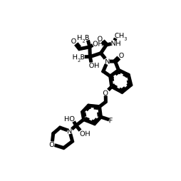 BC(O)(C=O)C(B)(O)C(C(=O)NC)N1Cc2c(OCc3ccc(C(O)(O)N4CCOCC4)cc3F)cccc2C1=O